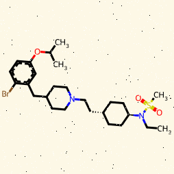 CCN([C@H]1CC[C@H](CCN2CCC(Cc3cc(OC(C)C)ccc3Br)CC2)CC1)S(C)(=O)=O